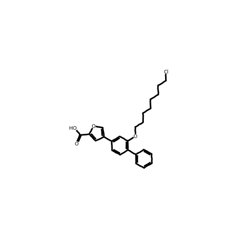 O=C(O)c1cc(-c2ccc(-c3ccccc3)c(OCCCCCCCCCl)c2)co1